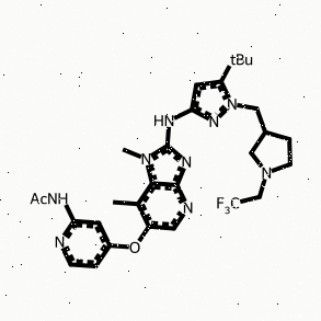 CC(=O)Nc1cc(Oc2cnc3nc(Nc4cc(C(C)(C)C)n(CC5CCN(CC(F)(F)F)C5)n4)n(C)c3c2C)ccn1